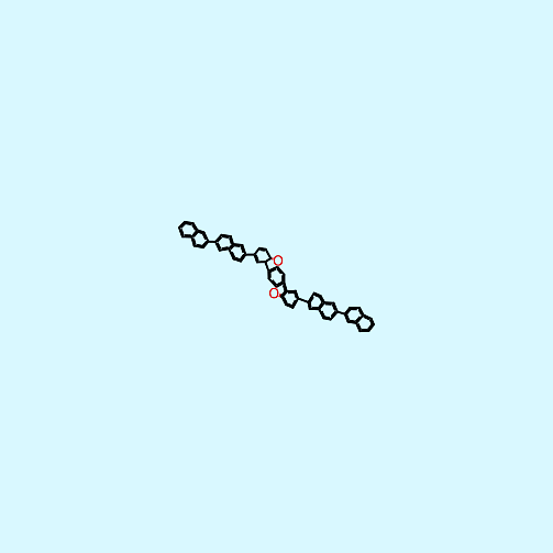 C1=CC2Oc3cc4c(cc3C2C=C1c1ccc2cc(-c3ccc5ccccc5c3)ccc2c1)oc1ccc(-c2ccc3cc(-c5ccc6ccccc6c5)ccc3c2)cc14